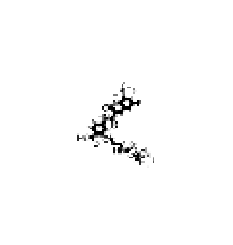 CNc1cc(F)cc2cc(C(=O)Nc3ccc(C(=O)O)c(OCCCNC(=O)OC(C)(C)C)c3)c(=O)[nH]c12